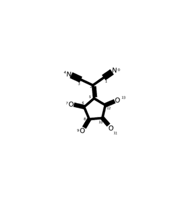 N#CC(C#N)=C1C(=O)C(=O)C(=O)C1=O